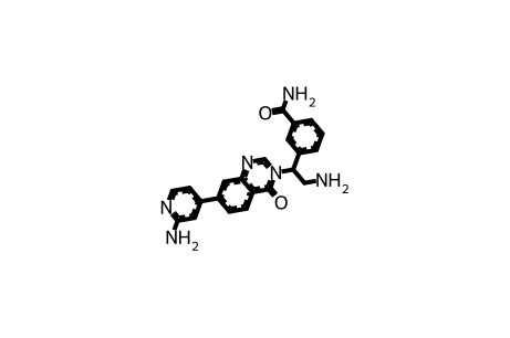 NCC(c1cccc(C(N)=O)c1)n1cnc2cc(-c3ccnc(N)c3)ccc2c1=O